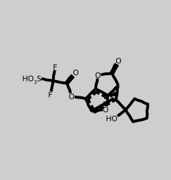 O=C1Oc2c(OC(=O)C(F)(F)S(=O)(=O)O)c3oc2c1c3C1(O)CCCC1